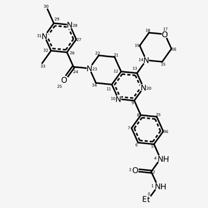 CCNC(=O)Nc1ccc(-c2nc3c(c(N4CCOCC4)n2)CCN(C(=O)c2cnc(C)nc2C)C3)cc1